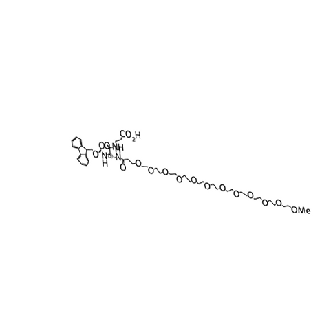 COCCOCCOCCOCCOCCOCCOCCOCCOCCOCCOCCOCCC(=O)NC[C@H](NC(=O)OCC1c2ccccc2-c2ccccc21)C(=O)NCCC(=O)O